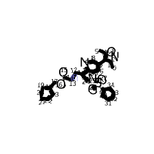 Cc1noc(C)c1-c1cnc2c(/C=C/C(=O)OCc3ccccc3)cn(S(=O)(=O)c3ccccc3)c2c1